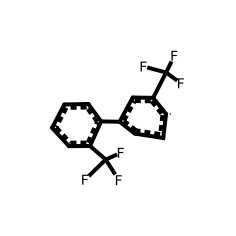 FC(F)(F)c1[c]ccc(-c2ccccc2C(F)(F)F)c1